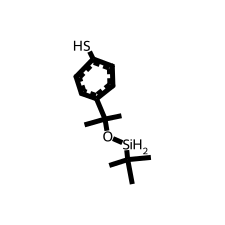 CC(C)(C)[SiH2]OC(C)(C)c1ccc(S)cc1